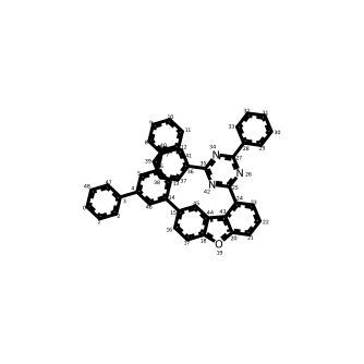 c1ccc(-c2cc(-c3ccccc3)cc(-c3ccc4oc5cccc(-c6nc(-c7ccccc7)nc(-c7ccccc7)n6)c5c4c3)c2)cc1